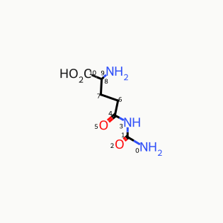 NC(=O)NC(=O)CCC(N)C(=O)O